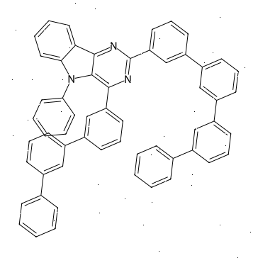 c1ccc(-c2cccc(-c3cccc(-c4cccc(-c5nc(-c6cccc(-c7cccc(-c8ccccc8)c7)c6)c6c(n5)c5ccccc5n6-c5ccccc5)c4)c3)c2)cc1